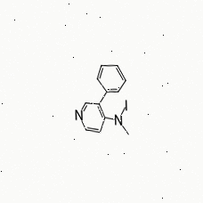 CN(I)c1ccncc1-c1ccccc1